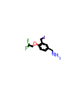 NCc1ccc(OCC(F)F)c(CI)c1